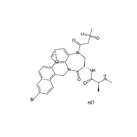 CN[C@@H](C)C(=O)N[C@H]1CN(C(=O)CS(C)(=O)=O)c2ccccc2N(Cc2c(OC)ccc3cc(Br)ccc23)C1=O.Cl